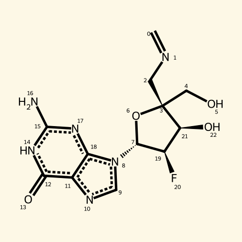 C=NC[C@]1(CO)O[C@@H](n2cnc3c(=O)[nH]c(N)nc32)[C@H](F)[C@@H]1O